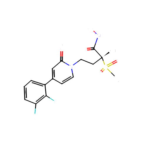 C[C@@](CCn1ccc(-c2cccc(F)c2F)cc1=O)(C(=O)NO)S(C)(=O)=O